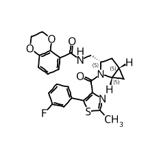 Cc1nc(C(=O)N2[C@H](CNC(=O)c3cccc4c3OCCO4)C[C@@H]3C[C@@H]32)c(-c2cccc(F)c2)s1